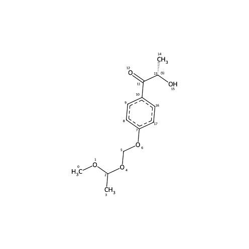 COC(C)OCOc1ccc(C(=O)[C@H](C)O)cc1